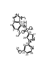 CCc1ccc2cnn(C)c2c1NS(=O)(=O)c1cnn(-c2cc(OC)ccn2)c1